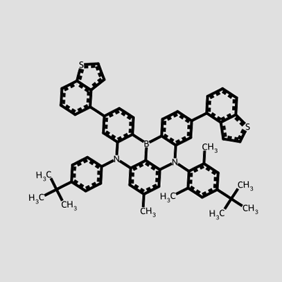 Cc1cc2c3c(c1)N(c1c(C)cc(C(C)(C)C)cc1C)c1cc(-c4cccc5sccc45)ccc1B3c1ccc(-c3cccc4sccc34)cc1N2c1ccc(C(C)(C)C)cc1